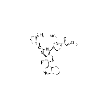 C=CC(=O)N1CCN(c2nc(OC[C@@H]3CCCN3C)nc3c(F)c(-c4cncc5c4CCCC5)ncc23)C[C@@H]1CC#N